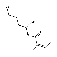 CC=C(C)C(=O)OC(O)CCCO